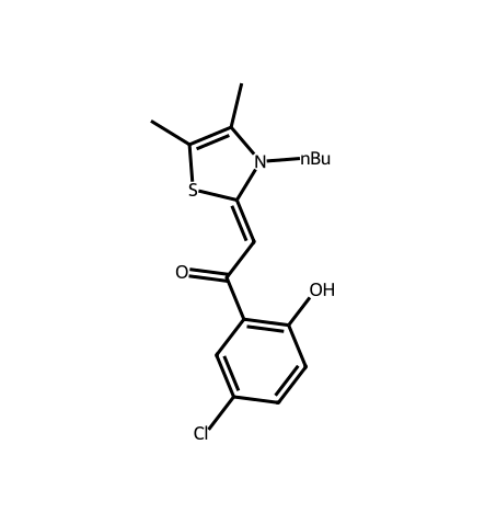 CCCCN1C(C)=C(C)S/C1=C\C(=O)c1cc(Cl)ccc1O